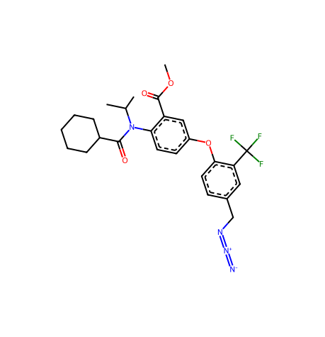 COC(=O)c1cc(Oc2ccc(CN=[N+]=[N-])cc2C(F)(F)F)ccc1N(C(=O)C1CCCCC1)C(C)C